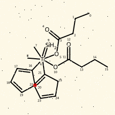 CCCC(=O)[O][Ti]([CH3])([CH3])(=[SiH2])([O]C(=O)CCC)([C]1=CC=CC1)[C]1=CC=CC1